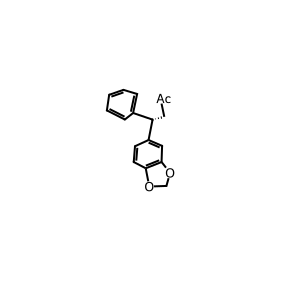 CC(=O)C[C@@H](c1ccccc1)c1ccc2c(c1)OCO2